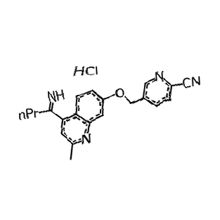 CCCC(=N)c1cc(C)nc2cc(OCc3ccc(C#N)nc3)ccc12.Cl